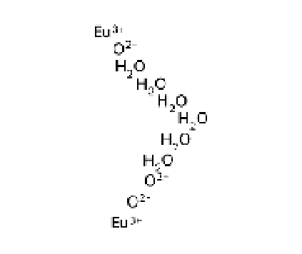 O.O.O.O.O.O.[Eu+3].[Eu+3].[O-2].[O-2].[O-2]